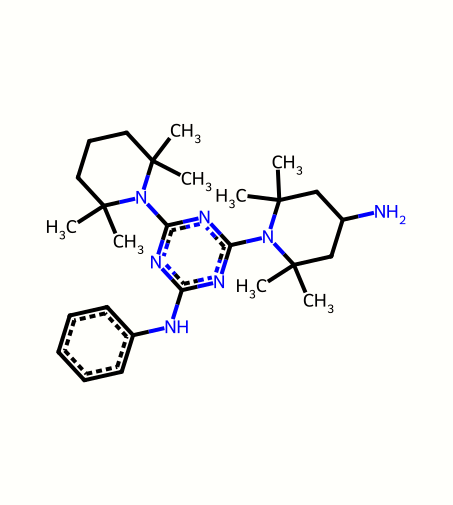 CC1(C)CCCC(C)(C)N1c1nc(Nc2ccccc2)nc(N2C(C)(C)CC(N)CC2(C)C)n1